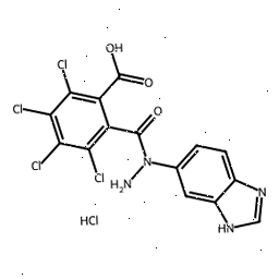 Cl.NN(C(=O)c1c(Cl)c(Cl)c(Cl)c(Cl)c1C(=O)O)c1ccc2nc[nH]c2c1